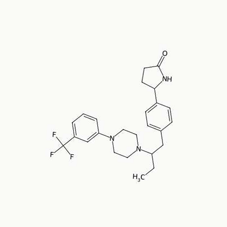 CCC(Cc1ccc(C2CCC(=O)N2)cc1)N1CCN(c2cccc(C(F)(F)F)c2)CC1